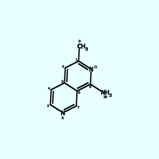 Cc1cc2ccncc2c(N)n1